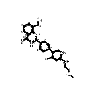 COCCNc1cc(C)c(-c2ccc(-c3nc4c(CO)cccc4c(=O)[nH]3)cc2)cn1